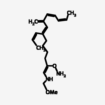 C=C(/C=C\C=C/C)/C=C(\C=C/C)CCCC/C(=C/NCOC)ON